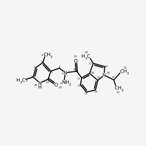 Cc1cc(C)c(CN(N)C(=O)c2cccc3c2c(C)cn3C(C)C)c(=O)[nH]1